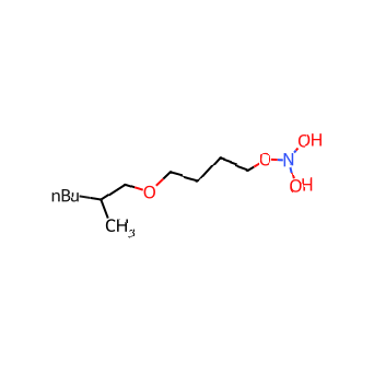 CCCCC(C)COCCCCON(O)O